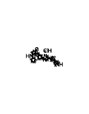 Cl.O=c1ccc(Nc2ccccc2)nn1Cc1cccc(-c2ncc(-c3cnn(C4CCNCC4)c3)cn2)c1